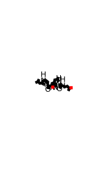 CC(C)CCNC(=O)Nc1nnc(C(=O)N2CCNC(CC(C)C)C2)cc1CC(C)C